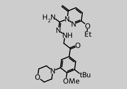 C=C1C=CC(OCC)=NN1/C(N)=N\NCC(=O)c1cc(N2CCOCC2)c(OC)c(C(C)(C)C)c1